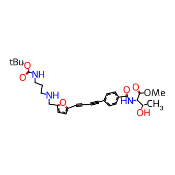 COC(=O)[C@H](NC(=O)c1ccc(C#CC#Cc2ccc(CNCCCNC(=O)OC(C)(C)C)o2)cc1)[C@@H](C)O